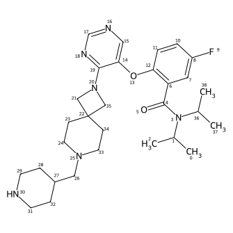 CC(C)N(C(=O)c1cc(F)ccc1Oc1cncnc1N1CC2(CCN(CC3CCNCC3)CC2)C1)C(C)C